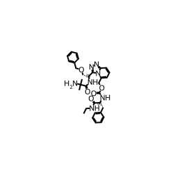 CCNC(=O)[C@@H](Cc1ccccc1)NC(=O)OCc1cccc2nnc([C@@H](COCc3ccccc3)NC(=O)C(C)(C)N)n12